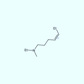 CC/C=C\CCCN(C)CC